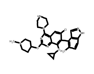 Cc1ccc2[nH]ncc2c1-c1c(Cl)cc2c(N3CCNCC3)nc(OC3CCN(C)CC3)nc2c1OC1CC1